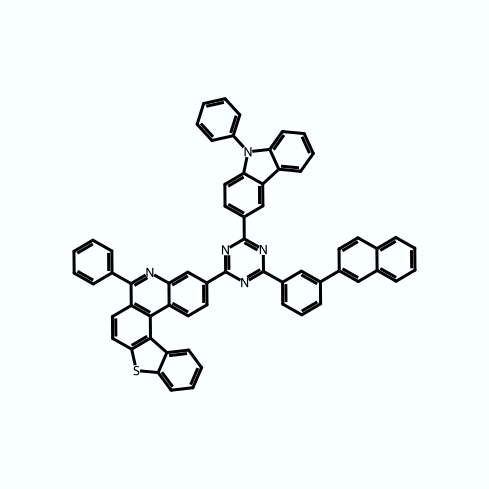 c1ccc(-c2nc3cc(-c4nc(-c5cccc(-c6ccc7ccccc7c6)c5)nc(-c5ccc6c(c5)c5ccccc5n6-c5ccccc5)n4)ccc3c3c2ccc2sc4ccccc4c23)cc1